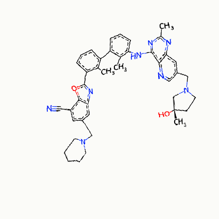 Cc1nc(Nc2cccc(-c3cccc(-c4nc5cc(CN6CCCCC6)cc(C#N)c5o4)c3C)c2C)c2ncc(CN3CC[C@](C)(O)C3)cc2n1